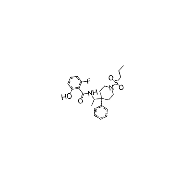 CCCS(=O)(=O)N1CCC(c2ccccc2)(C(C)NC(=O)c2c(O)cccc2F)CC1